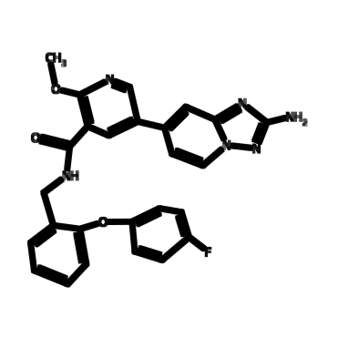 COc1ncc(-c2ccn3nc(N)nc3c2)cc1C(=O)NCc1ccccc1Oc1ccc(F)cc1